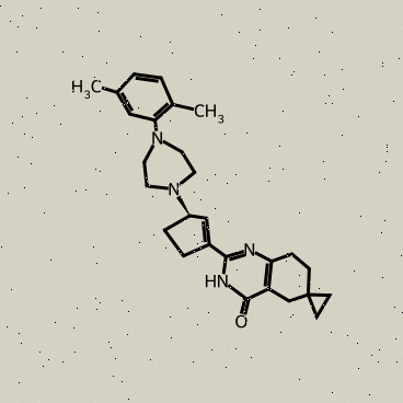 Cc1ccc(C)c(N2CCN([C@H]3C=C(c4nc5c(c(=O)[nH]4)CC4(CC5)CC4)CC3)CC2)c1